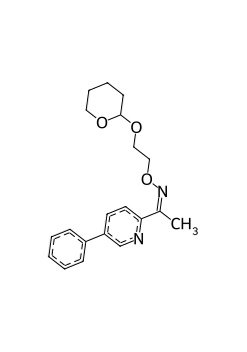 CC(=NOCCOC1CCCCO1)c1ccc(-c2ccccc2)cn1